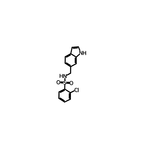 O=S(=O)(NCc1ccc2cc[nH]c2c1)c1ccccc1Cl